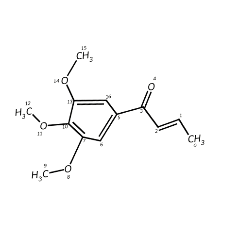 CC=CC(=O)c1cc(OC)c(OC)c(OC)c1